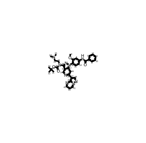 COc1cc(NC(=O)c2ccccc2)ccc1-n1nc(N(CCN(C)C)C(=O)OC(C)(C)C)c2cnc(-c3cnn4cccnc34)cc21